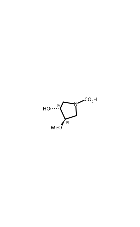 CO[C@@H]1CN(C(=O)O)C[C@H]1O